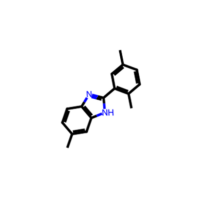 Cc1ccc(C)c(-c2nc3ccc(C)cc3[nH]2)c1